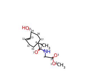 COC(=O)CNC(=O)[C@]1(C)CC/C=C/[C@H](O)CC1